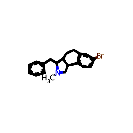 CN1CC2c3ccc(Br)cc3CCC2C1Cc1ccccc1